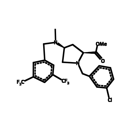 COC(=O)[C@@H]1C[C@H](N(C)Cc2cc(C(F)(F)F)cc(C(F)(F)F)c2)CN1Cc1cccc(Cl)c1